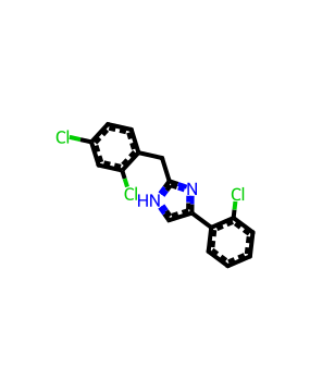 Clc1ccc(Cc2nc(-c3ccccc3Cl)c[nH]2)c(Cl)c1